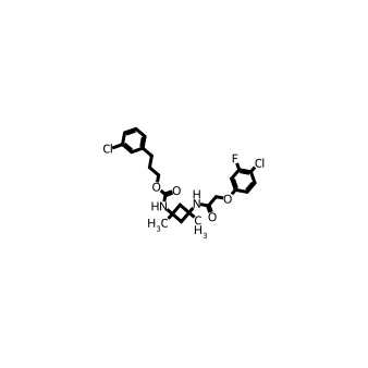 CC1(NC(=O)COc2ccc(Cl)c(F)c2)CC(C)(NC(=O)OCCCc2cccc(Cl)c2)C1